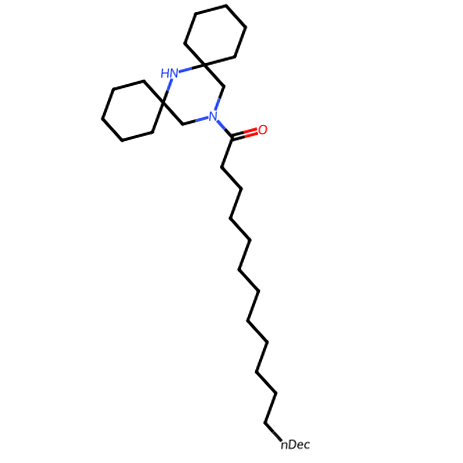 CCCCCCCCCCCCCCCCCCCCCC(=O)N1CC2(CCCCC2)NC2(CCCCC2)C1